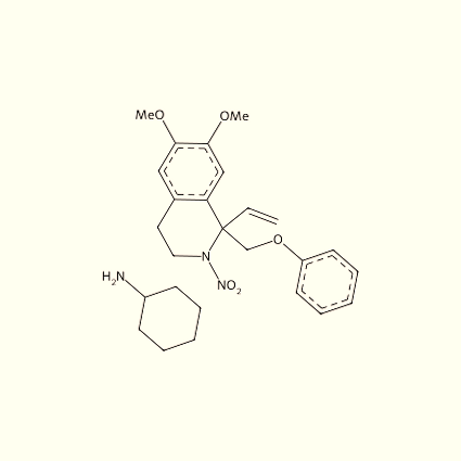 C=CC1(COc2ccccc2)c2cc(OC)c(OC)cc2CCN1[N+](=O)[O-].NC1CCCCC1